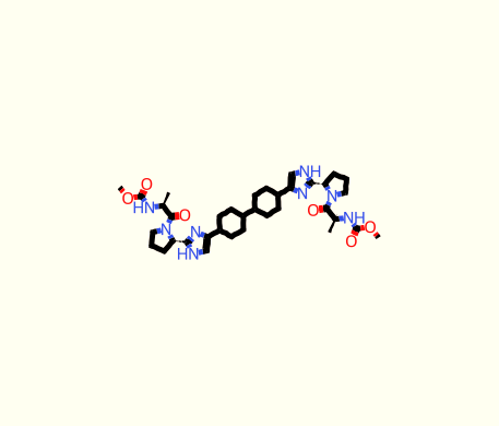 COC(=O)N[C@@H](C)C(=O)N1CCC[C@H]1c1nc(C2CCC(C3CCC(c4c[nH]c([C@@H]5CCCN5C(=O)[C@H](C)NC(=O)OC)n4)CC3)CC2)c[nH]1